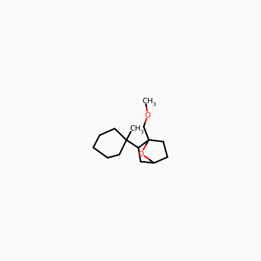 COCC12CCC(CC1C1(C)CCCCC1)O2